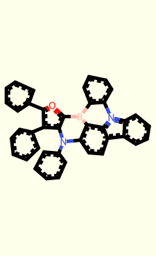 c1ccc(-c2oc3c(c2-c2ccccc2)N(c2ccccc2)c2ccc4c5ccccc5n5c4c2B3c2ccccc2-5)cc1